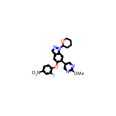 COc1ncc(-c2cc3c(cnn3C3CCCCO3)cc2Oc2ccc([N+](=O)[O-])cc2F)cn1